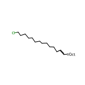 CCCCCCCCC=CCCCCCCCCCCCCCl